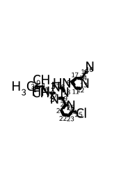 CC(C)(C)CNc1nc(Nc2ccnc(C#N)c2)nc(-c2cccc(Cl)n2)n1